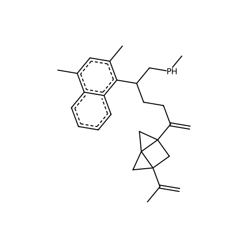 C=C(C)C12CC3(C(=C)CCC(CPC)c4c(C)cc(C)c5ccccc45)CC13C2